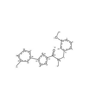 COc1cccc(CN(C)C(=O)c2ccc(-c3cccc(C)c3)s2)c1